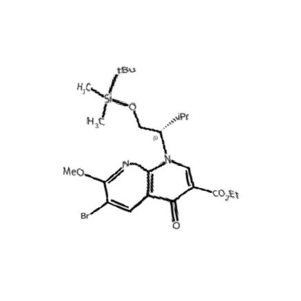 CCOC(=O)c1cn([C@H](CO[Si](C)(C)C(C)(C)C)C(C)C)c2nc(OC)c(Br)cc2c1=O